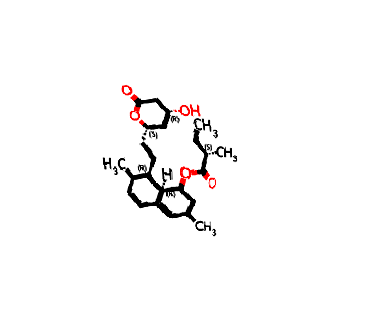 CC[C@H](C)C(=O)OC1CC(C)C=C2C=CC(C)[C@@H](CC[C@H]3C[C@@H](O)CC(=O)O3)[C@H]21